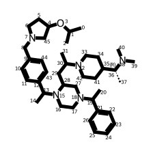 CC(C)OC1CCN(Cc2ccc(C(C)N3CCN(C(C)c4ccccc4)CC3CC(C)N3CCC([C@@H](C)N(C)C)CC3)cc2)C1